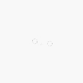 Cc1cc(Cl)cc(OBOc2cc(C)cc(Cl)c2)c1